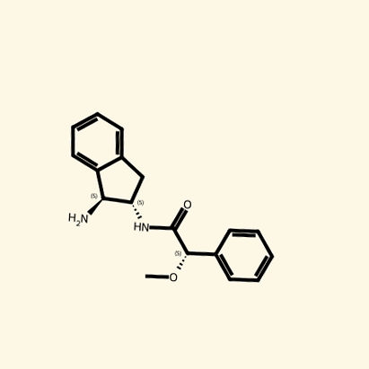 CO[C@H](C(=O)N[C@H]1Cc2ccccc2[C@@H]1N)c1ccccc1